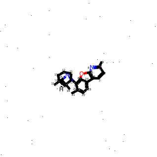 Cc1ccc2c(n1)oc1c(N3C4CCC(C)(CC4)[C@@H]3C)c(C)ccc12